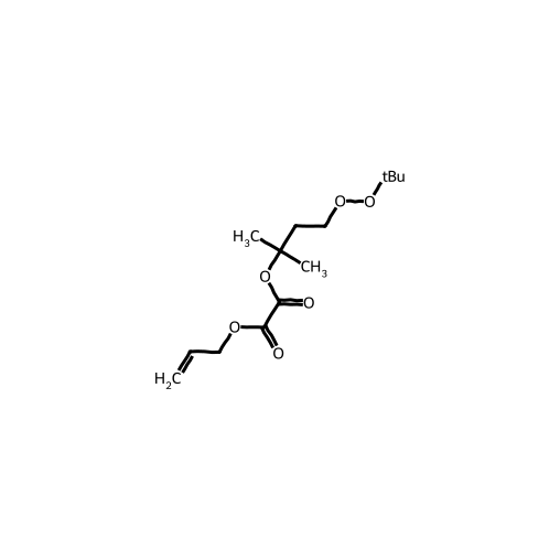 C=CCOC(=O)C(=O)OC(C)(C)CCOOC(C)(C)C